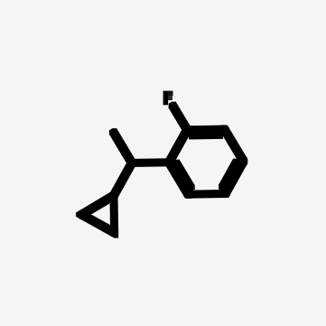 CC(c1ccccc1F)C1CC1